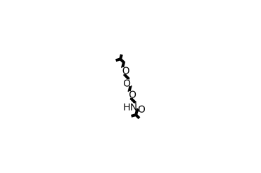 CC(C)CCOCCOCCOCCNC(=O)C(C)C